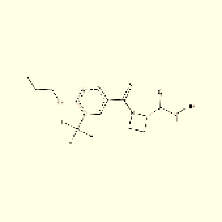 CCCOc1ccc(C(=S)N2CCC2C(=O)NO)cc1C(F)(F)F